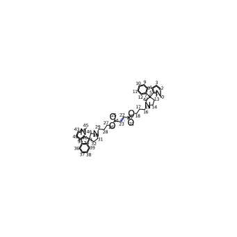 Cn1cccc1C1(c2ccccc2)CCN(CCCOC(=O)/C=C/C(=O)OCCCN2CCC(c3ccccc3)(c3cccn3C)C2)C1